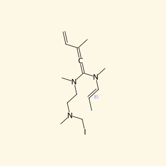 C=CC(C)=C=C(N(C)/C=C/C)N(C)CCN(C)CI